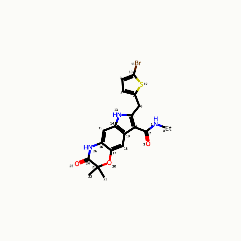 CCNC(=O)c1c(Cc2ccc(Br)s2)[nH]c2cc3c(cc12)OC(C)(C)C(=O)N3